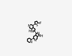 Fc1ccc(-c2cncc3[nH]c(-c4n[nH]c5cnc(-c6ccccn6)cc45)cc23)s1